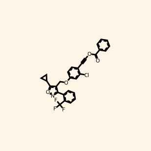 O=C(OC#Cc1ccc(OCc2c(-c3ccccc3C(F)(F)F)noc2C2CC2)cc1Cl)c1ccccc1